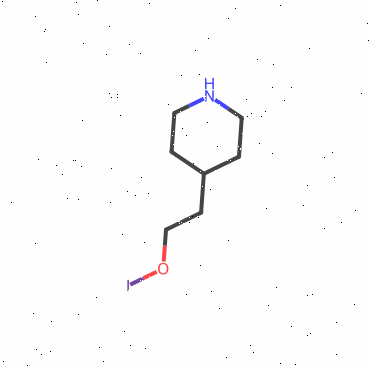 IOCCC1CCNCC1